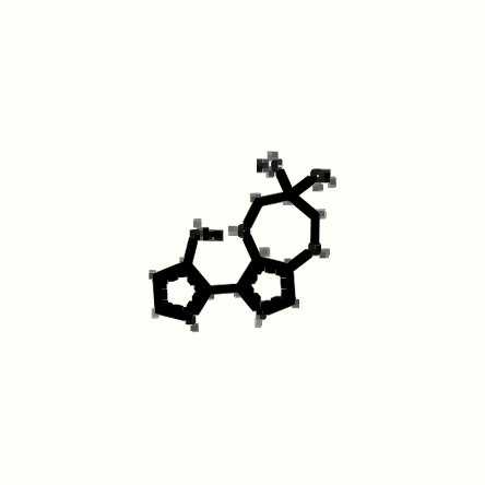 CCCCCCc1ccsc1-c1scc2c1OCC(C)(C)CO2